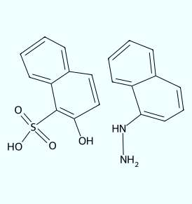 NNc1cccc2ccccc12.O=S(=O)(O)c1c(O)ccc2ccccc12